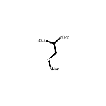 CCCCCCCCCCC(CCCCCCCC)COCCCCCCCCC